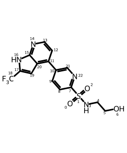 O=S(=O)(NCCO)c1ccc(-c2ccnc3[nH]c(C(F)(F)F)cc23)cn1